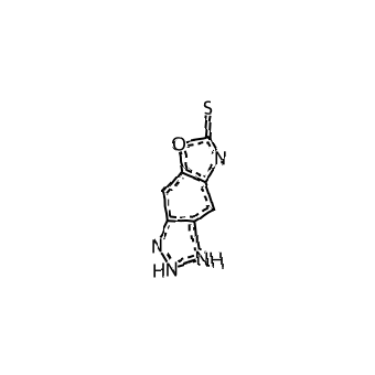 S=c1nc2cc3[nH][nH]nc3cc2o1